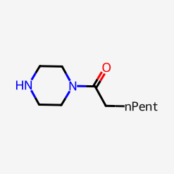 CCCCCCC(=O)N1CCNCC1